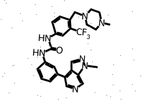 CN1CCN(Cc2ccc(NC(=O)Nc3cccc(-c4cncc5c4cnn5C)c3)cc2C(F)(F)F)CC1